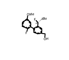 COc1ccc(F)c(-c2ccc(CO)cc2[C@H](F)C(C)(C)C)c1